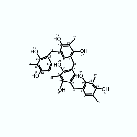 Cc1cc(Cc2cc(Cc3cc(Cc4ccc(O)c(C)c4O)c(O)c(C)c3O)c(O)c(C)c2O)c(O)c(C)c1O